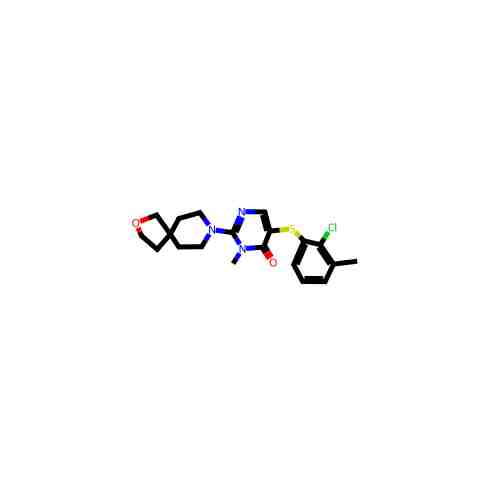 Cc1cccc(Sc2cnc(N3CCC4(CCOC4)CC3)n(C)c2=O)c1Cl